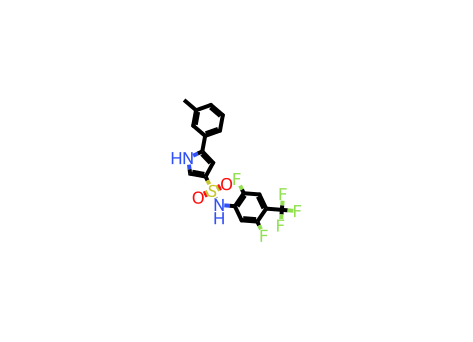 Cc1cccc(-c2cc(S(=O)(=O)Nc3cc(F)c(C(F)(F)F)cc3F)c[nH]2)c1